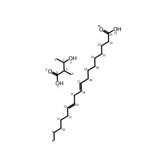 CC(O)C(C)C(=O)O.CCCCC/C=C/C/C=C/CCCCCCCC(=O)O